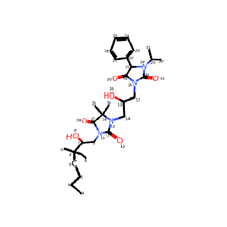 CCCCC(C)(C)C(O)CN1C(=O)N(CC(O)CN2C(=O)C(c3ccccc3)N(C(C)C)C2=O)C(C)(C)C1=O